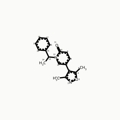 Cc1noc(C)c1-c1ccc(=O)n(C(C)c2ccccc2)c1